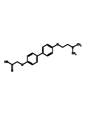 CN(C)CCOc1ccc(-c2ccc(OCC(=O)O)cc2)cc1